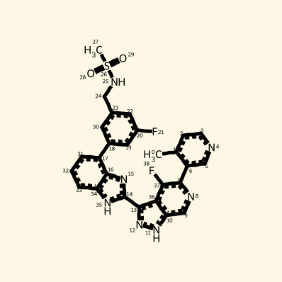 Cc1ccncc1-c1ncc2[nH]nc(-c3nc4c(-c5cc(F)cc(CNS(C)(=O)=O)c5)cccc4[nH]3)c2c1F